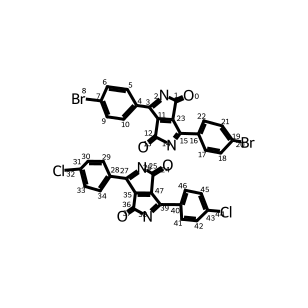 O=c1nc(-c2ccc(Br)cc2)c2c(=O)nc(-c3ccc(Br)cc3)c1=2.O=c1nc(-c2ccc(Cl)cc2)c2c(=O)nc(-c3ccc(Cl)cc3)c1=2